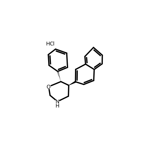 Cl.c1ccc([C@H]2OCNC[C@@H]2c2ccc3ccccc3c2)cc1